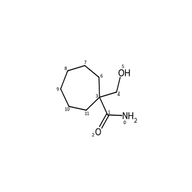 NC(=O)C1([CH]O)CCCCCC1